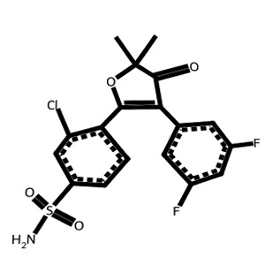 CC1(C)OC(c2ccc(S(N)(=O)=O)cc2Cl)=C(c2cc(F)cc(F)c2)C1=O